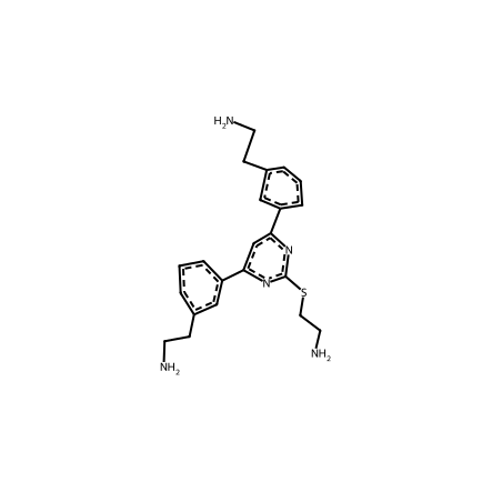 NCCSc1nc(-c2cccc(CCN)c2)cc(-c2cccc(CCN)c2)n1